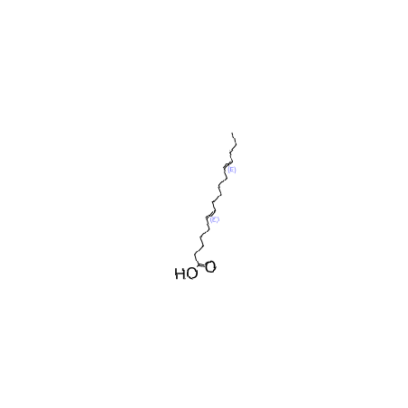 CCC/C=C/CCCC/C=C/CCCCC(=O)O